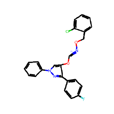 Fc1ccc(-c2nn(-c3ccccc3)cc2O/C=N/OCc2ccccc2Cl)cc1